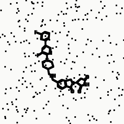 O=C1C[C@H](N2Cc3cc(CNCC4CCN(c5ncc(-c6cccc(F)c6)cc5F)CC4)ccc3C2=O)C(=O)N1